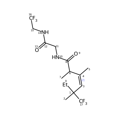 CCC(C)(/C=C(/C)C(C)C(=O)NCC(=O)NCC(F)(F)F)C(F)(F)F